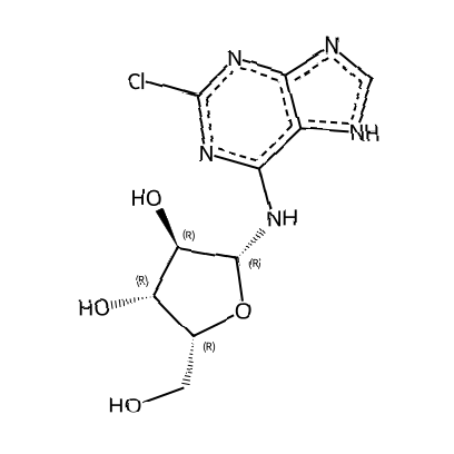 OC[C@H]1O[C@@H](Nc2nc(Cl)nc3nc[nH]c23)[C@H](O)[C@H]1O